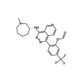 CN1CCCC[C@@H](Nc2nnc(-c3ccc(C(F)(F)F)cc3OC=O)c3ccncc23)C1